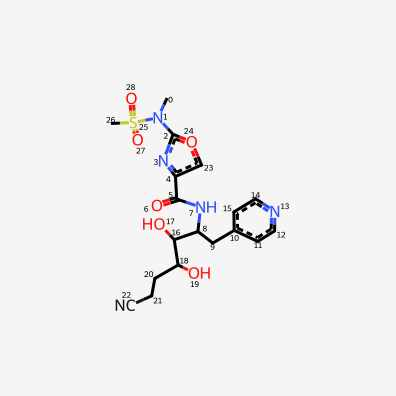 CN(c1nc(C(=O)NC(Cc2ccncc2)C(O)C(O)CCC#N)co1)S(C)(=O)=O